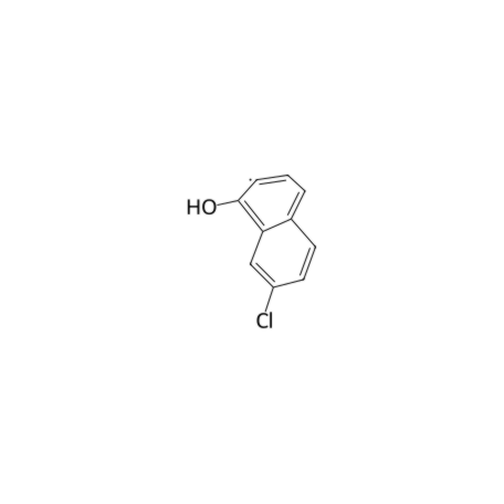 Oc1[c]ccc2ccc(Cl)cc12